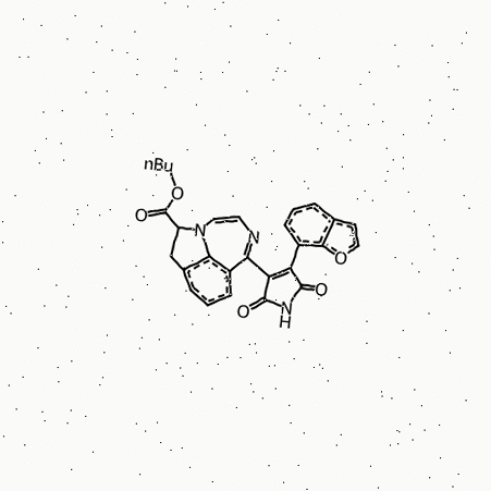 CCCCOC(=O)C1Cc2cccc3c2N1C=CN=C3C1=C(c2cccc3ccoc23)C(=O)NC1=O